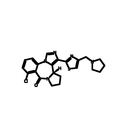 O=C1c2c(Cl)cccc2-n2cnc(-c3nc(CN4CCCC4)cs3)c2[C@@H]2CCCN12